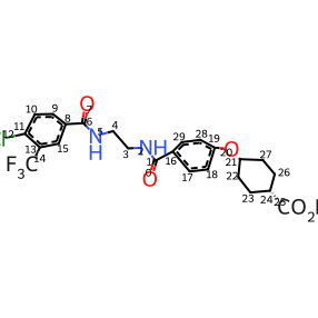 O=C(NCCNC(=O)c1ccc(Cl)c(C(F)(F)F)c1)c1ccc(O[C@H]2CC[C@@H](C(=O)O)CC2)cc1